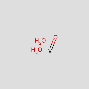 O.O.[O]=[V]